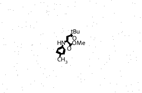 COC(=O)C(=CC(=O)C(C)(C)C)Nc1ccc(C)cc1